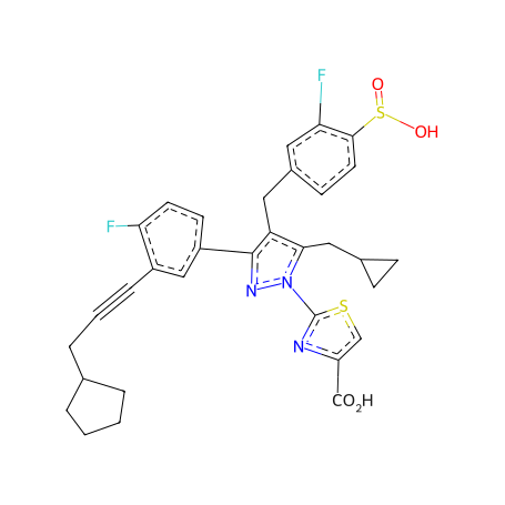 O=C(O)c1csc(-n2nc(-c3ccc(F)c(C#CCC4CCCC4)c3)c(Cc3ccc(S(=O)O)c(F)c3)c2CC2CC2)n1